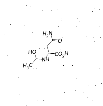 CC(O)N[C@@H](CC(N)=O)C(=O)O